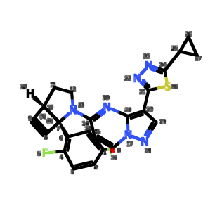 Fc1ccc(F)c([C@@]23C#C[C@@H]2CCN3c2ccn3ncc(-c4nnc(C5CC5)s4)c3n2)c1